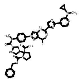 CN(C(=O)[C@@H]1C[C@@H]([C@]2(C(=O)O)CCCN2C(=O)OCc2ccccc2)CN1)c1ccc(-n2cc(NC(=O)c3coc(-c4ccnc(N(C)C5CC5)c4)n3)c(C(F)F)n2)cc1